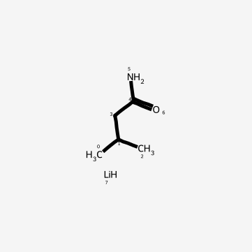 CC(C)CC(N)=O.[LiH]